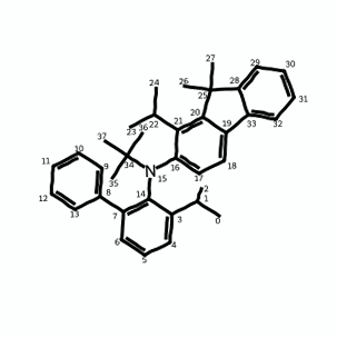 CC(C)c1cccc(-c2ccccc2)c1N(c1ccc2c(c1C(C)C)C(C)(C)c1ccccc1-2)C(C)(C)C